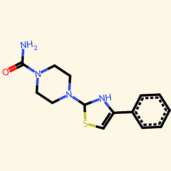 NC(=O)N1CCN(C2NC(c3ccccc3)=CS2)CC1